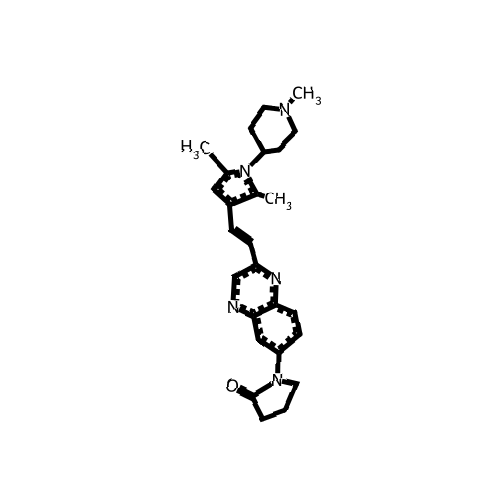 Cc1cc(/C=C/c2cnc3cc(N4CCCC4=O)ccc3n2)c(C)n1C1CCN(C)CC1